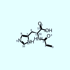 C=CC(=O)N[C@@H](Cc1cnc[nH]1)C(=O)O